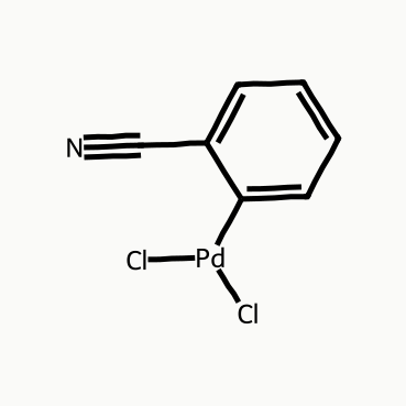 N#Cc1cccc[c]1[Pd]([Cl])[Cl]